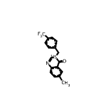 Cc1ccc2c(c1)C(=O)[SH](Cc1ccc(C(F)(F)F)cc1)C=N2